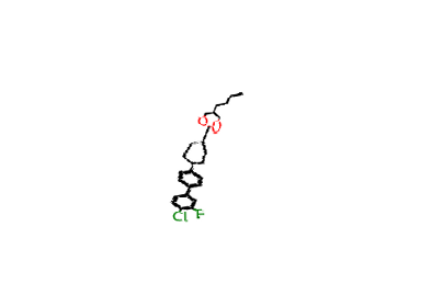 C=CCC[C@H]1CO[C@H]([C@H]2CC[C@H](c3ccc(-c4ccc(Cl)c(F)c4)cc3)CC2)OC1